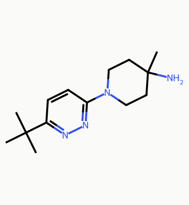 CC1(N)CCN(c2ccc(C(C)(C)C)nn2)CC1